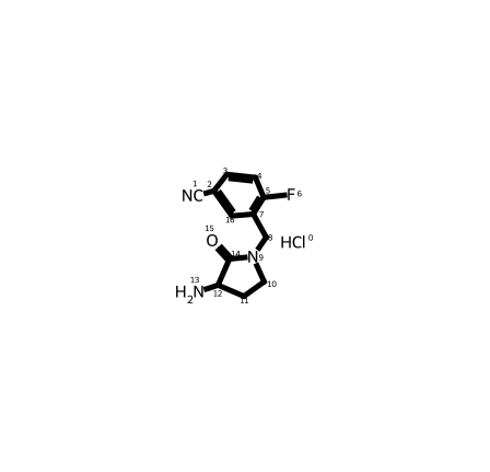 Cl.N#Cc1ccc(F)c(CN2CCC(N)C2=O)c1